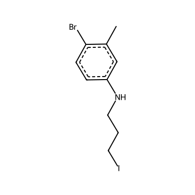 Cc1cc(NCCCI)ccc1Br